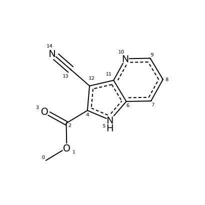 COC(=O)c1[nH]c2cccnc2c1C#N